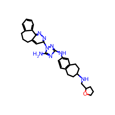 Nc1nc(Nc2ccc3c(c2)CCC(NCC2CCCO2)CC3)nn1-c1cc2c(nn1)-c1ccccc1CCC2